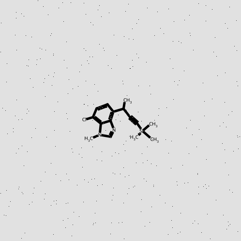 CC(C#C[Si](C)(C)C)c1ccc(Cl)c2c1ncn2C